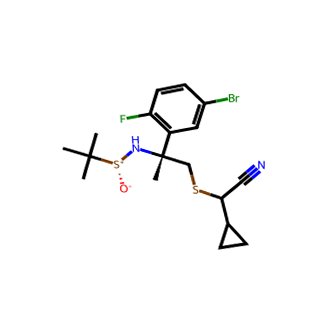 CC(C)(C)[S@@+]([O-])N[C@@](C)(CSC(C#N)C1CC1)c1cc(Br)ccc1F